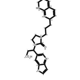 O=C(O)CC(c1cnc2ccoc2c1)N1CCN(CCCC2C=CC3=CCCNC3=N2)C1=O